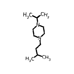 CC(C)CCN1CCN(C(C)C)CC1